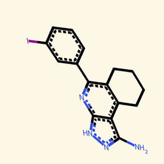 Nc1n[nH]c2nc(-c3cccc(I)c3)c3c(c12)CCCC3